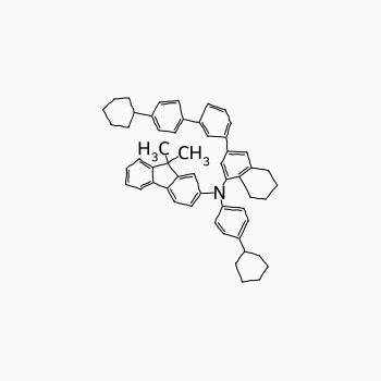 CC1(C)c2ccccc2-c2ccc(N(c3ccc(C4CCCCC4)cc3)c3cc(-c4cccc(-c5ccc(C6CCCCC6)cc5)c4)cc4c3CCCC4)cc21